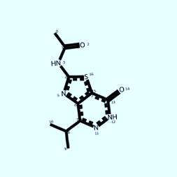 CC(=O)Nc1nc2c(C(C)C)n[nH]c(=O)c2s1